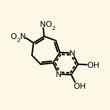 O=[N+]([O-])C1=C([N+](=O)[O-])CC=c2nc(O)c(O)nc2=C1